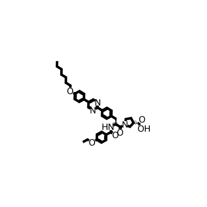 CCCCCCCOc1ccc(-c2cnc(-c3ccc(C[C@H](NC(=O)c4ccc(OCC)cc4)C(=O)N4CC[C@H](C(=O)O)C4)cc3)nc2)cc1